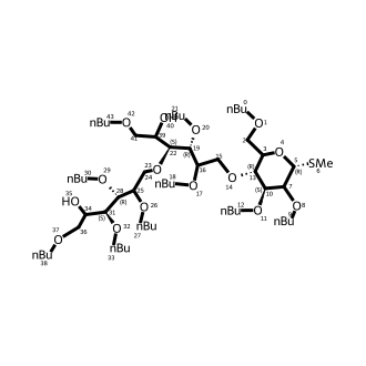 CCCCOCC1O[C@H](SC)C(OCCCC)[C@@H](OCCCC)[C@@H]1OCC(OCCCC)[C@@H](OCCCC)[C@@H](OCC(OCCCC)[C@@H](OCCCC)[C@@H](OCCCC)C(O)COCCCC)C(O)COCCCC